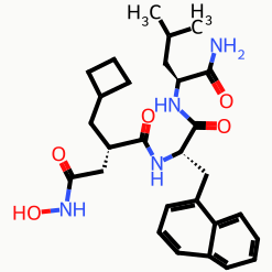 CC(C)C[C@H](NC(=O)[C@H](Cc1cccc2ccccc12)NC(=O)[C@H](CC(=O)NO)CC1CCC1)C(N)=O